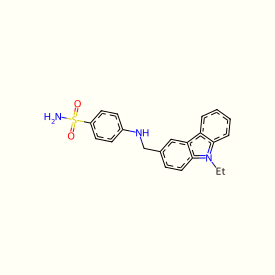 CCn1c2ccccc2c2cc(CNc3ccc(S(N)(=O)=O)cc3)ccc21